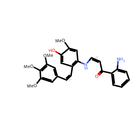 COc1cc(N/C=C\C(=O)c2ccccc2N)c(/C=C\c2cc(OC)c(OC)c(OC)c2)cc1O